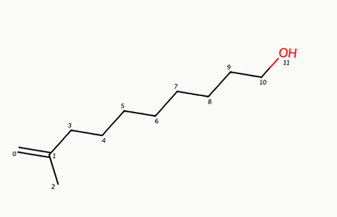 C=C(C)CCCCCCCCO